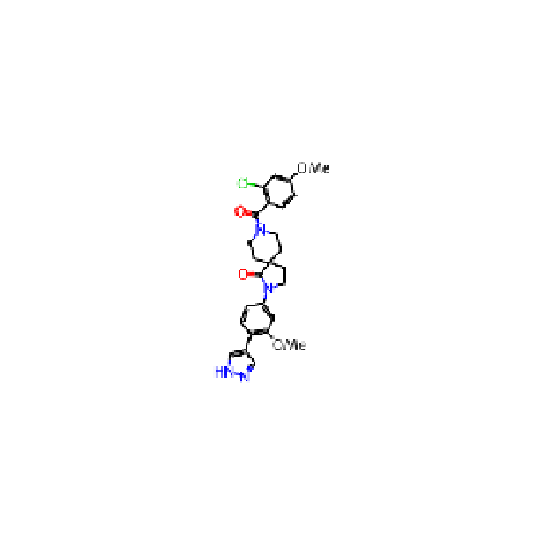 COc1ccc(C(=O)N2CCC3(CC2)CCN(c2ccc(-c4cn[nH]c4)c(OC)c2)C3=O)c(Cl)c1